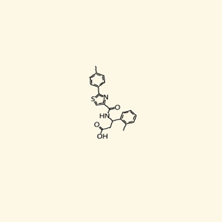 Cc1ccc(-c2nc(C(=O)NC(CC(=O)O)c3ccccc3C)cs2)cc1